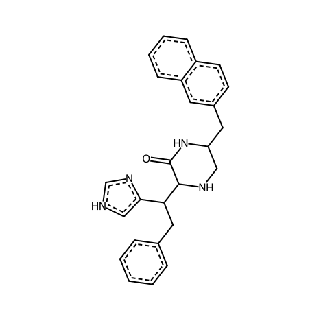 O=C1NC(Cc2ccc3ccccc3c2)CNC1C(Cc1ccccc1)c1c[nH]cn1